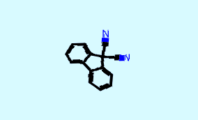 N#CC1(C#N)c2ccccc2-c2ccccc21